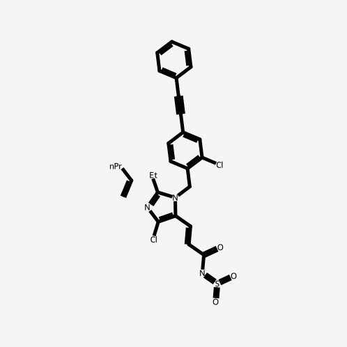 C=CCCC.CCc1nc(Cl)c(C=CC(=O)N=S(=O)=O)n1Cc1ccc(C#Cc2ccccc2)cc1Cl